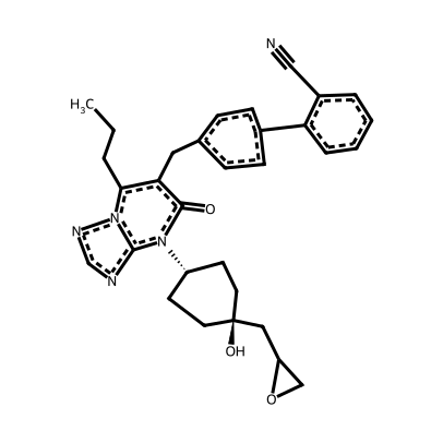 CCCc1c(Cc2ccc(-c3ccccc3C#N)cc2)c(=O)n([C@H]2CC[C@@](O)(CC3CO3)CC2)c2ncnn12